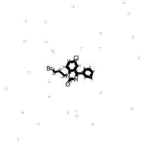 O=c1nc(-c2ccccc2)c2cc(Cl)ccc2n1CCCBr